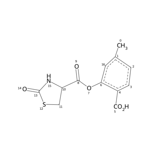 Cc1ccc(C(=O)O)c(OC(=O)C2CSC(=O)N2)c1